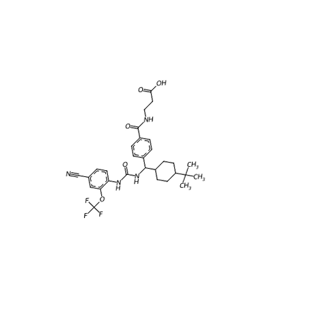 CC(C)(C)C1CCC(C(NC(=O)Nc2ccc(C#N)cc2OC(F)(F)F)c2ccc(C(=O)NCCC(=O)O)cc2)CC1